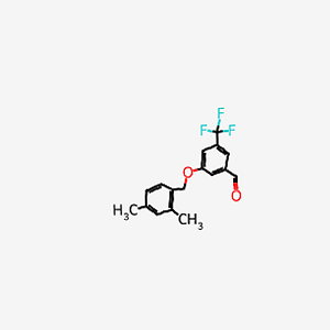 Cc1ccc(COc2cc(C=O)cc(C(F)(F)F)c2)c(C)c1